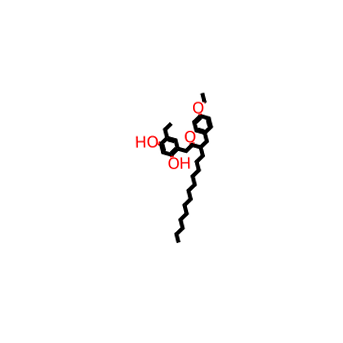 CCCCCCCCCCCCCC(Cc1ccc(OCC)cc1)C(=O)Cc1cc(CC)c(O)cc1O